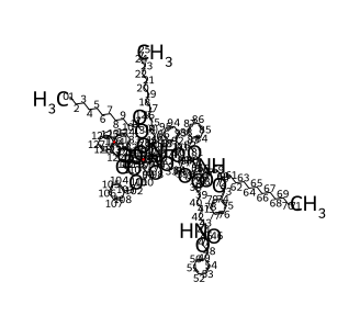 CCCCCCCCCCCC(=O)O[C@H](CCCCCCCCCCC)CC(=O)N[C@@H]1[C@H](OC[C@H]2O[C@H](OCCCCCCNC(=O)OCc3ccccc3)[C@@H](NC(=O)C[C@@H](CCCCCCCCCCC)OCc3ccccc3)[C@@H](OCc3ccccc3)[C@@H]2OCc2ccccc2)O[C@H](COCc2ccccc2)[C@@H](OP(=O)(OCc2ccccc2)OCc2ccccc2)[C@@H]1OCc1ccccc1